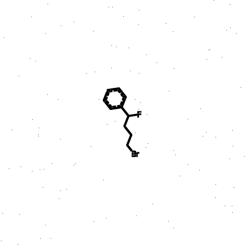 FC(CCCBr)c1ccccc1